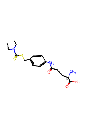 CCN(CC)C(=S)SCc1ccc(NC(=O)CC[C@H](N)C(=O)O)cc1